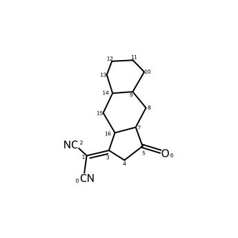 N#CC(C#N)=C1CC(=O)C2CC3CCCCC3CC12